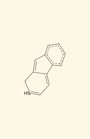 C1=[SiH]CC2=Cc3ccccc3C2=C1